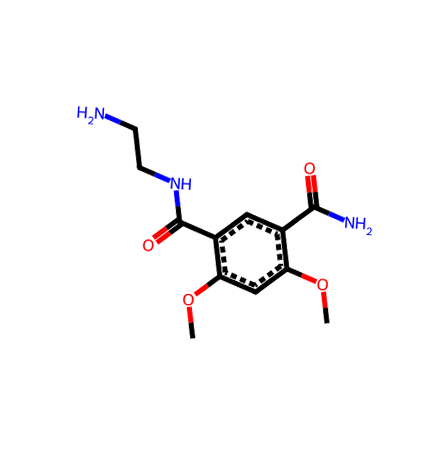 COc1cc(OC)c(C(=O)NCCN)cc1C(N)=O